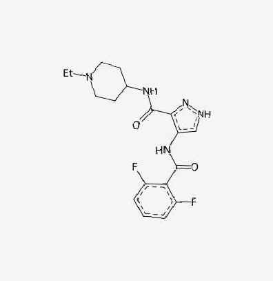 CCN1CCC(NC(=O)c2n[nH]cc2NC(=O)c2c(F)cccc2F)CC1